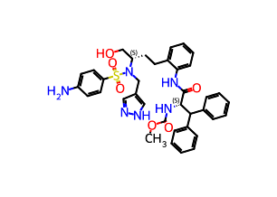 COC(=O)N[C@H](C(=O)Nc1ccccc1CC[C@@H](CO)N(Cc1cn[nH]c1)S(=O)(=O)c1ccc(N)cc1)C(c1ccccc1)c1ccccc1